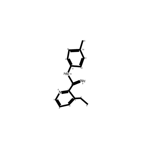 CCc1cccnc1C(=N)Nc1ccc(C)cc1